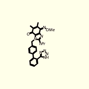 CCCc1nc2c(n1Cc1ccc(-c3ccccc3-c3nnn[nH]3)cc1)C(=O)C(C)=C(C)C2=NOC